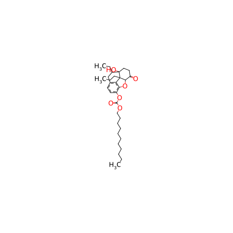 CCCCCCCCCCCOC(=O)Oc1ccc2c3c1OC1C(=O)CCC(O)(C(CC)C2)C31CCC